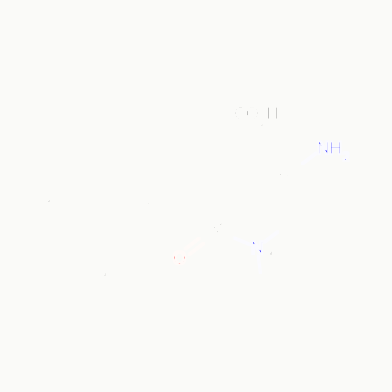 C[C@@H](CN)N(C)C(=O)[C@@H](CC(=O)O)Cc1ccccc1